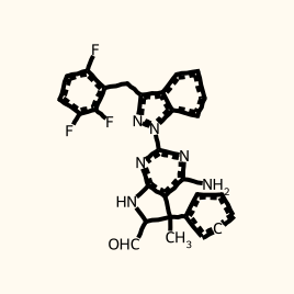 CC1(c2ccccc2)c2c(N)nc(-n3nc(Cc4c(F)ccc(F)c4F)c4ccccc43)nc2NC1C=O